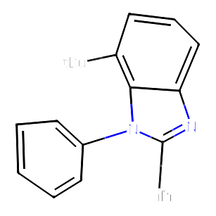 CC(C)c1nc2cccc(C(C)(C)C)c2n1-c1ccccc1